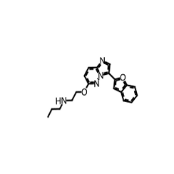 CCCNCCOc1ccc2ncc(-c3cc4ccccc4o3)n2n1